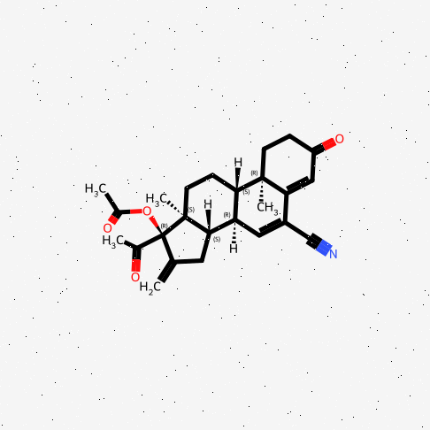 C=C1C[C@H]2[C@@H]3C=C(C#N)C4=CC(=O)CC[C@]4(C)[C@H]3CC[C@]2(C)[C@@]1(OC(C)=O)C(C)=O